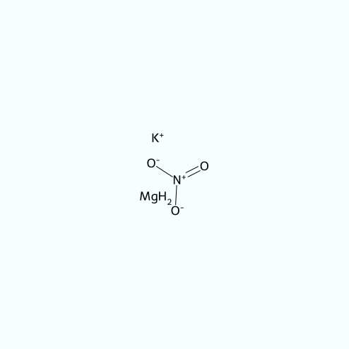 O=[N+]([O-])[O-].[K+].[MgH2]